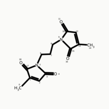 CC1=CC(=O)N(CCCN2C(=O)C=C(C)C2=O)C1=O